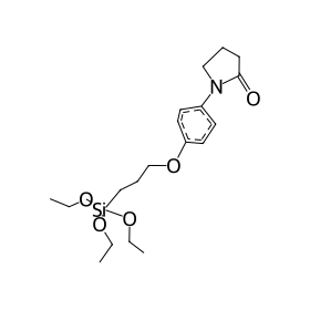 CCO[Si](CCCOc1ccc(N2CCCC2=O)cc1)(OCC)OCC